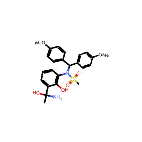 COc1ccc(C(c2ccc(OC)cc2)N(c2cccc(C(C)(N)O)c2O)S(C)(=O)=O)cc1